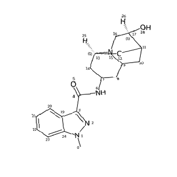 Cn1nc(C(=O)NC2CC3CC4C[C@@H](C2)N3C[C@H]4O)c2ccccc21